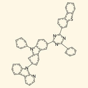 c1ccc(-c2nc(-c3ccc4c(c3)sc3ccccc34)nc(-c3ccc4c(c3)c3ccc(-n5c6ccccc6c6cccnc65)cc3n4-c3ccccc3)n2)cc1